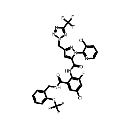 O=C(NCc1ccccc1OC(F)(F)F)c1cc(Cl)cc(F)c1NC(=O)c1cc(Cn2nnc(C(F)(F)F)n2)nn1-c1ncccc1Cl